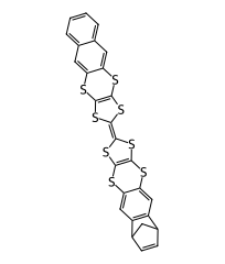 C1=CC2CC1c1cc3c(cc12)SC1=C(SC(=C2SC4=C(S2)Sc2cc5ccccc5cc2S4)S1)S3